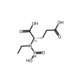 CCN([C@@H](CCC(=O)O)C(=O)O)[PH](=O)O